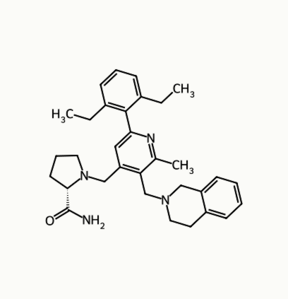 CCc1cccc(CC)c1-c1cc(CN2CCC[C@H]2C(N)=O)c(CN2CCc3ccccc3C2)c(C)n1